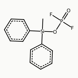 C[Si](OP(=O)(F)F)(c1ccccc1)c1ccccc1